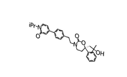 CC(C)n1ccc(-c2ccc(CCN3CC[C@](CC(C)(C)O)(c4ccccc4)OC3=O)cc2)cc1=O